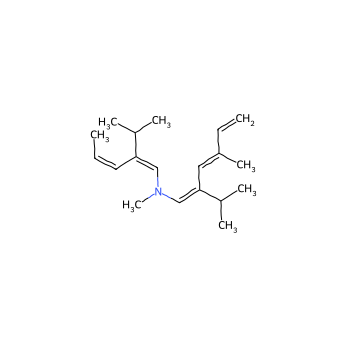 C=C/C(C)=C/C(=C\N(C)/C=C(\C=C/C)C(C)C)C(C)C